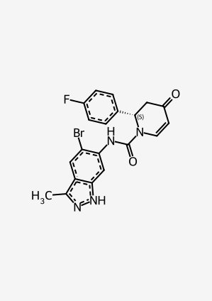 Cc1n[nH]c2cc(NC(=O)N3C=CC(=O)C[C@H]3c3ccc(F)cc3)c(Br)cc12